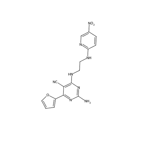 N#Cc1c(NCCNc2ccc([N+](=O)[O-])cn2)nc(N)nc1-c1ccco1